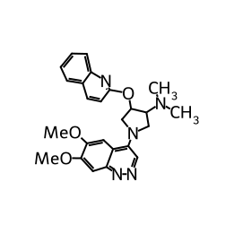 COc1cc2nncc(N3CC(Oc4ccc5ccccc5n4)C(N(C)C)C3)c2cc1OC